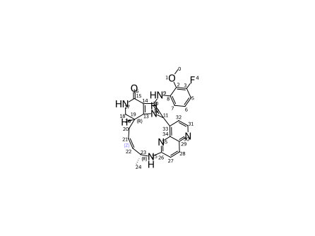 COc1c(F)cccc1Nc1c2[nH]c3c1C(=O)NC[C@H]3C/C=C\[C@@H](C)Nc1ccc3nccc-2c3n1